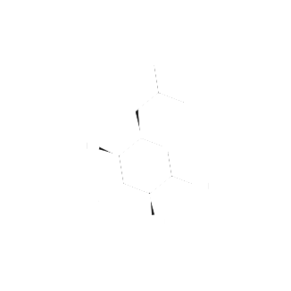 CC(C)C[C@H]1OC(O)[C@@H](O)[C@H](O)[C@H]1O